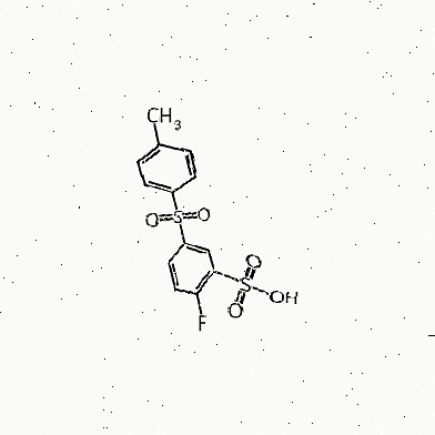 Cc1ccc(S(=O)(=O)c2ccc(F)c(S(=O)(=O)O)c2)cc1